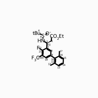 CCOC(=O)C[C@H](N[S+]([O-])C(C)(C)C)c1cc(-c2c(C)cccc2C)cc(C(F)(F)F)c1F